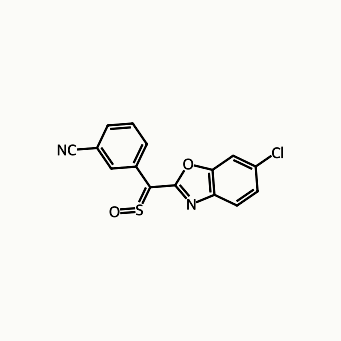 N#Cc1cccc(C(=S=O)c2nc3ccc(Cl)cc3o2)c1